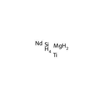 [MgH2].[Nd].[SiH4].[Ti]